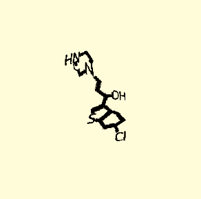 OC(CCN1CCNCC1)c1csc2cc(Cl)ccc12